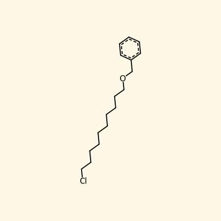 ClCCCCCCCCCCOCc1ccccc1